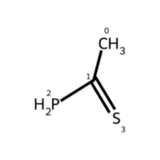 CC(P)=S